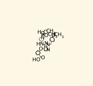 COc1ccc(Cn2nc(NC3CCN(C(=O)OC(C)(C)C)C3)c3c(Oc4cccc(C(=O)O)c4)ccnc32)cc1